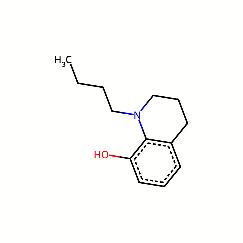 CCCCN1CCCc2cccc(O)c21